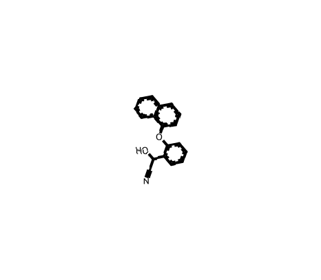 N#CC(O)c1ccccc1Oc1cccc2ccccc12